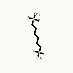 C[Si](F)(F)CCCCCC[Si](C)(F)F